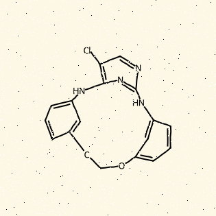 Clc1cnc2nc1Nc1cccc(c1)CCOc1cccc(c1)N2